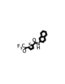 O=C(Nc1ccc2ccccc2c1)c1ccc(C(=O)C(F)(F)F)s1